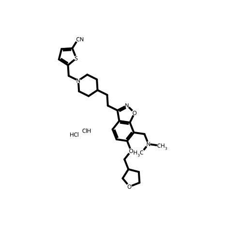 CN(C)Cc1c(OCC2CCOC2)ccc2c(CCC3CCN(Cc4ccc(C#N)s4)CC3)noc12.Cl.Cl